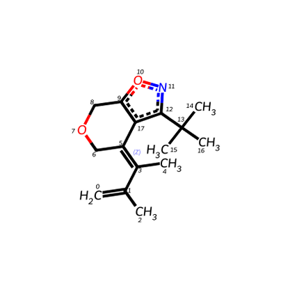 C=C(C)/C(C)=C1\COCc2onc(C(C)(C)C)c21